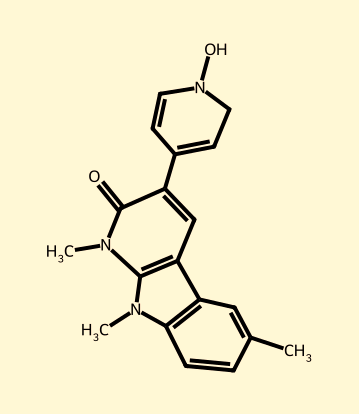 Cc1ccc2c(c1)c1cc(C3=CCN(O)C=C3)c(=O)n(C)c1n2C